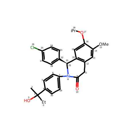 CCC(C)(O)c1ccc(N2C(=O)Cc3cc(OC)c(OC(C)C)cc3[C@@H]2c2ccc(Cl)cc2)cc1